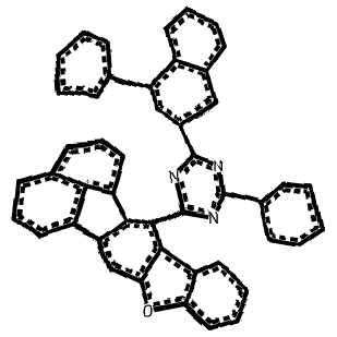 c1ccc(-c2nc(-c3cc(-c4ccccc4)c4ccccc4c3)nc(-c3c4c(cc5oc6ccccc6c35)-c3cccc5cccc-4c35)n2)cc1